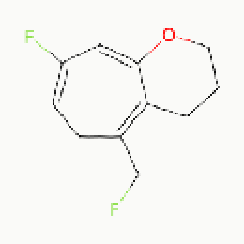 FCC1=C2CCCOC2=CC(F)=CC1